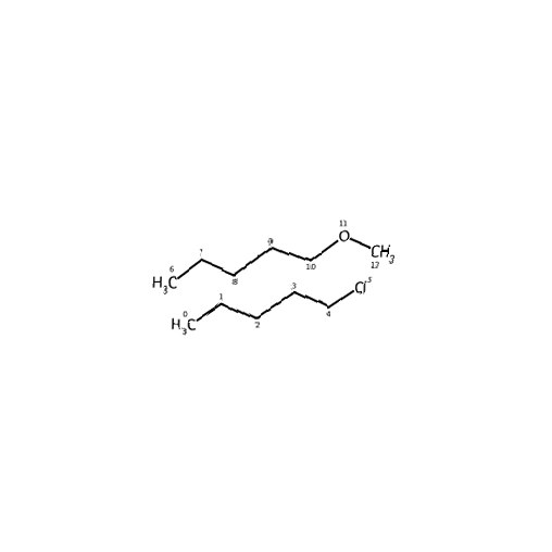 CCCCCCl.CCCCCOC